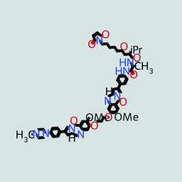 COc1cc2c(cc1OCCCOc1cc3c(cc1OC)C(=O)N1C=C(c4ccc(N5CCN(C)CC5)cc4)C[C@H]1C=N3)N=C[C@@H]1CC(c3ccc(NC(=O)[C@H](C)NC(=O)C(CC(=O)CCCCCN4C(=O)C=CC4=O)C(C)C)cc3)=CN1C2=O